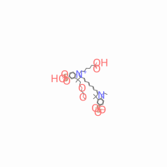 CCN1/C(=C/C=C/C=C/C=C/C2=[N+](CCCCCC(=O)O)c3ccc(S(=O)(=O)O)cc3C2(C)CCOCCOC)C(C)(C)c2cc(S(=O)(=O)[O-])ccc21